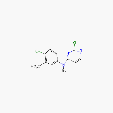 CCN(c1ccc(Cl)c(C(=O)O)c1)c1ccnc(Cl)n1